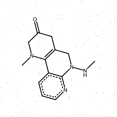 CNN1CC2=C(c3cccnc31)N(C)CC(=O)C2